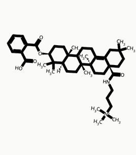 CC1(C)CC[C@]2(C(=O)NCCC[N+](C)(C)C)CC[C@]3(C)C(=C2C1)CCC1[C@@]2(C)CC[C@H](OC(=O)c4ccccc4C(=O)O)C(C)(C)[C@@H]2CC[C@]13C